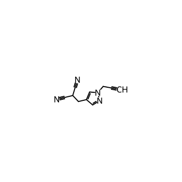 C#CCn1cc(CC(C#N)C#N)cn1